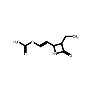 CCC1C(=O)NC1/C=C/OC(C)=O